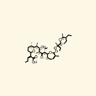 CCC=C(C(=O)O)C1CC[C@H](C)[C@H]([C@@H](C)[C@H](O)[C@H](C)C(=O)[C@H](CC)C2O[C@@H](OO[C@@](C)(CC)[C@H]3CCC(CC)[C@H](C)O3)C(C)=CC[C@@H]2C)O1